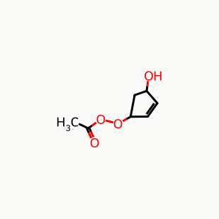 CC(=O)OOC1C=CC(O)C1